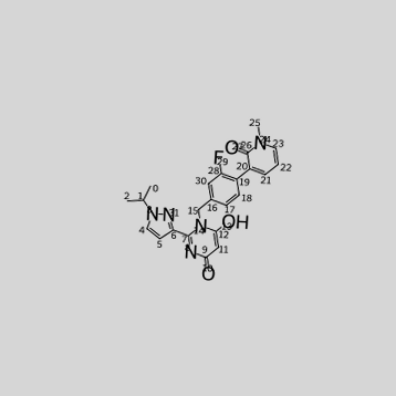 CC(C)n1ccc(-c2nc(=O)cc(O)n2Cc2ccc(-c3cccn(C)c3=O)c(F)c2)n1